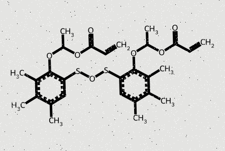 C=CC(=O)OC(C)Oc1c(SOSc2cc(C)c(C)c(C)c2OC(C)OC(=O)C=C)cc(C)c(C)c1C